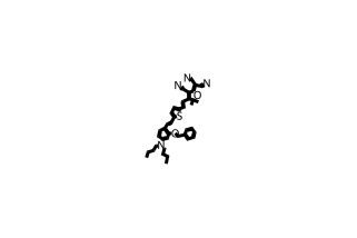 CCCCN(CCCC)c1ccc(/C=C/c2ccc(/C=C/C3=C(C#N)C(=C(C#N)C#N)OC3(C)C)s2)c(OCc2ccccc2)c1